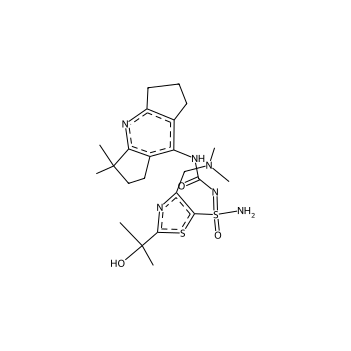 CN(C)Cc1nc(C(C)(C)O)sc1S(N)(=O)=NC(=O)Nc1c2c(nc3c1CCC3(C)C)CCC2